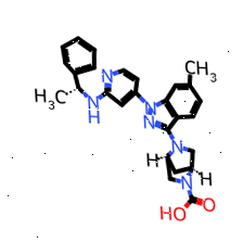 Cc1ccc2c(N3C[C@@H]4C[C@H]3CN4C(=O)O)nn(-c3ccnc(N[C@H](C)c4ccccc4)c3)c2c1